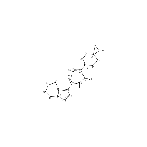 C[C@@H](NC(=O)c1cnn2c1CCCC2)C(=O)N1CCC2(CC1)CC2